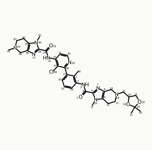 Cc1c(NC(=O)c2nc3c(n2C)CCN(CC2COC(C)(C)O2)C3)cccc1-c1nccc(NC(=O)c2nc3c(n2C)CCN(C)C3)c1Cl